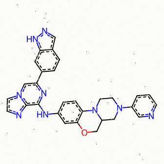 c1cncc(N2CCN3c4ccc(Nc5nc(-c6ccc7cn[nH]c7c6)cn6ccnc56)cc4OCC3C2)c1